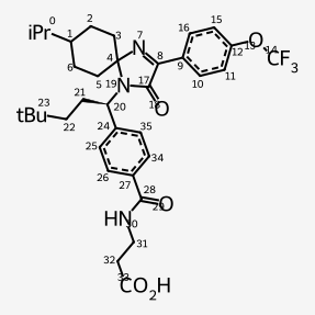 CC(C)C1CCC2(CC1)N=C(c1ccc(OC(F)(F)F)cc1)C(=O)N2[C@H](CCC(C)(C)C)c1ccc(C(=O)NCCC(=O)O)cc1